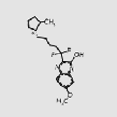 COc1ccc2nc(C(F)(F)CCCC[C@@H]3CCCC3C)c(O)nc2c1